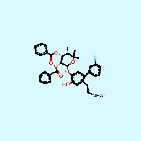 CC(=O)NCCc1cc(O)c(O[C@@H]2OC(C)(C)[C@H](C)[C@@H](OC(=O)c3ccccc3)[C@H]2OC(=O)c2ccccc2)cc1-c1cccc(F)c1